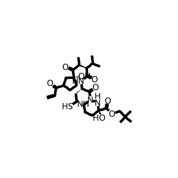 C=CC(=O)C1CC[C@](O)(C(=O)C(C)[C@H](C(=O)N[C@@H](CC(=N)S)C(=O)N2CCC[C@@](O)(C(=O)OCC(C)(C)C)N2)C(C)C)C1